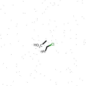 CC(=O)O.CCCCCl